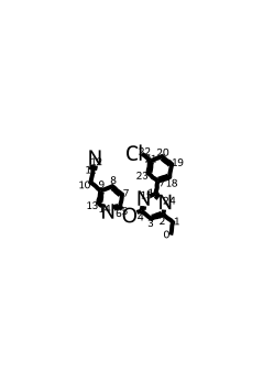 CCc1cc(Oc2ccc(CC#N)cn2)nc(-c2cccc(Cl)c2)n1